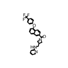 O=C(c1ccc2c(Oc3ccc(C(F)(F)F)cc3)cccc2c1)N1CC(CNc2ccccn2)C1